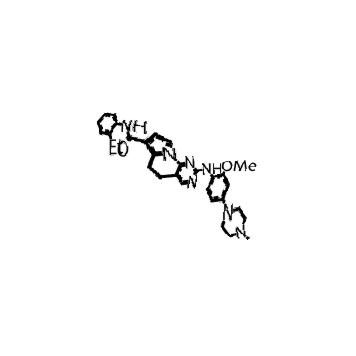 CCc1ccccc1NC(=O)c1ccn2c1CCc1cnc(Nc3ccc(N4CCN(C)CC4)cc3OC)nc1-2